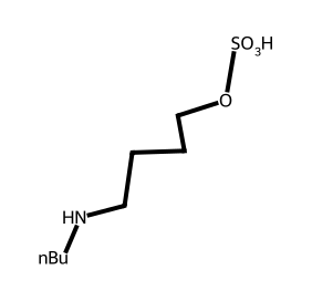 CCCCNCCCCOS(=O)(=O)O